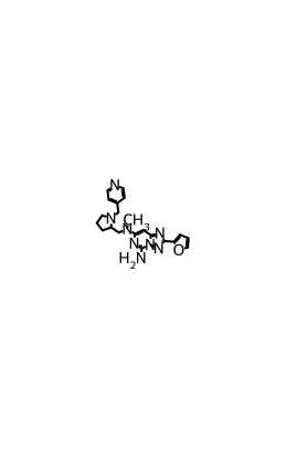 CN(CC1CCCN1Cc1ccncc1)c1cc2nc(-c3ccco3)nn2c(N)n1